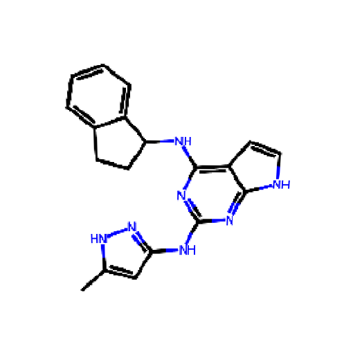 Cc1cc(Nc2nc(NC3CCc4ccccc43)c3cc[nH]c3n2)n[nH]1